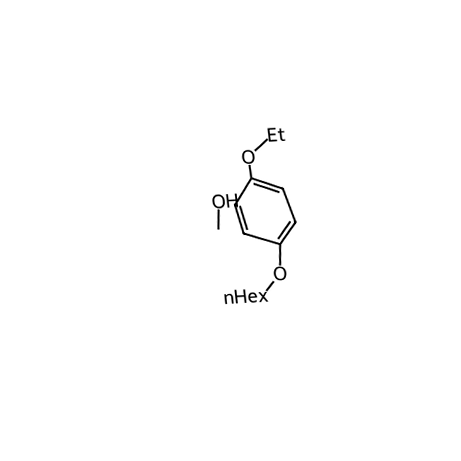 CCCCCCOc1ccc(OCC)cc1.CO